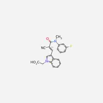 CN(C(=O)/C(C#N)=C/c1cn(CC(=O)O)c2ccccc12)c1cccc(F)c1